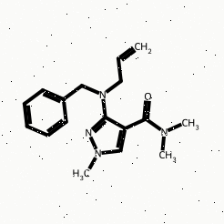 C=CCN(Cc1ccccc1)c1nn(C)cc1C(=O)N(C)C